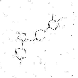 Cc1ccc(N2CCN(Cc3c[nH]nc3-c3ccc(F)cc3)CC2)cc1C